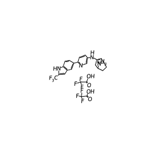 CN1C2CCC1CC(Nc1ccc(-c3ccc4[nH]c(C(F)(F)F)cc4c3)nc1)C2.O=C(O)C(F)(F)F.O=C(O)C(F)(F)F